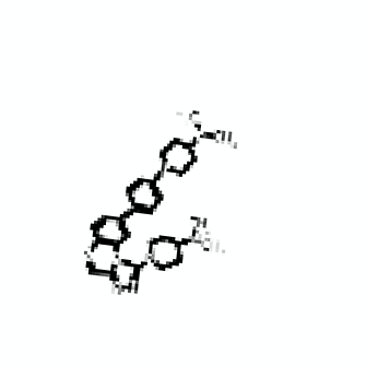 CN(C)C1CCN(c2ccc(-c3ccc4ncc5nnc(N6CCC(N(C)C)CC6)n5c4c3)cc2)CC1